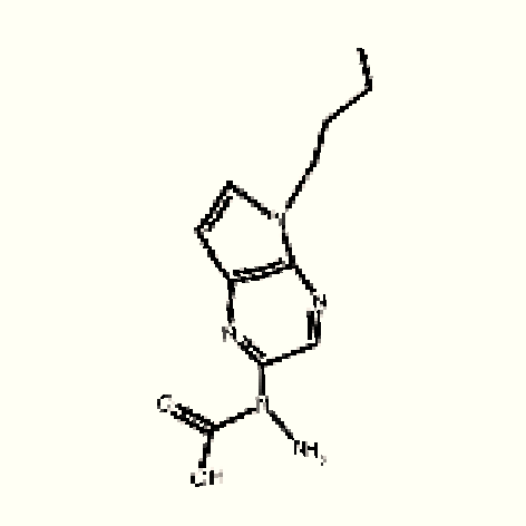 CCCCn1ccc2nc(N(N)C(=O)O)cnc21